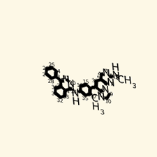 CNc1ncc2c(n1)N1CCN=C1C(c1ccc(Nc3nnc(-c4ccccc4)c4ccccc34)cc1C)=C2